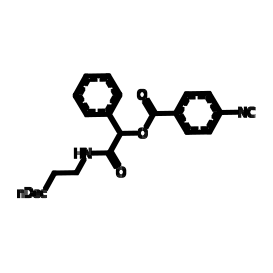 [C-]#[N+]c1ccc(C(=O)OC(C(=O)NCCCCCCCCCCCC)c2ccccc2)cc1